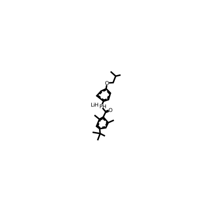 Cc1cc(C(C)(C)C)cc(C)c1C(=O)Pc1ccc(OCC(C)C)cc1.[LiH]